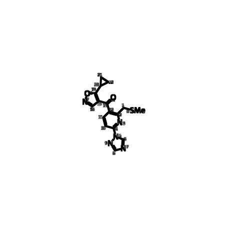 CSCc1nc(-n2cncn2)ccc1C(=O)c1cnoc1C1CC1